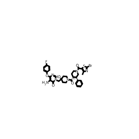 Cc1nc(Br)sc1C(=O)N1CC[C@@H](C(=O)N2CCC(O)(Cn3cnc(Oc4ccc(F)cc4)c(N)c3=O)CC2)[C@H](c2ccccc2)C1